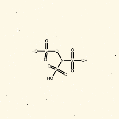 O=S(=O)(O)ON(S(=O)(=O)O)S(=O)(=O)O